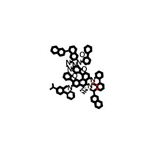 CC(C)c1ccc2c(c1)=CN(c1cc3c([Si](C)(C)C)c(N4C=CC=C(c5ccc6ccccc6c5)C4)c4c(N5Cc6ccccc6-c6ccccc65)cc5oc6c(N(c7ccc8c(-c9ccc%10ccccc%10c9)cccc8c7)c7cccc8c7oc7ccccc78)cccc6c5c4c3c3oc4c(N5C=NC=NC5)cccc4c13)C1C=CC=CC=21